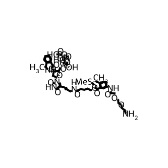 CSSC(C)c1ccc(NC(=O)COCCOCCN)cc1C(=O)OCCCCC(=O)NCC#Cc1cn([C@H]2C[C@@H](OC(=O)c3ccccc3C(C)N)C(COP(=O)(O)OP(=O)(O)OP(=O)(O)O)O2)c(=O)[nH]c1=O